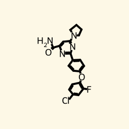 NC(=O)c1cc(N2CCCC2)nc(-c2ccc(Oc3ccc(Cl)cc3F)cc2)n1